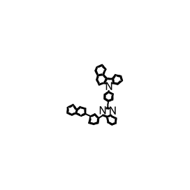 c1cc(-c2ccc3ccccc3c2)cc(-c2nc(-c3ccc(-n4c5ccccc5c5c6ccccc6ccc54)cc3)nc3ccccc23)c1